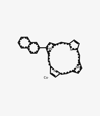 C1=Cc2cc3cc(-c4ccc5ccccc5c4)c(cc4nc(cc5ccc(cc1n2)[nH]5)C=C4)[nH]3.[Co]